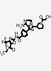 CCOC(=O)c1oc(NC(=O)c2ccc(-c3nc(C4CCCN(C(=O)CC)C4)n4ccnc(N)c34)cc2)nc1C(F)(F)F